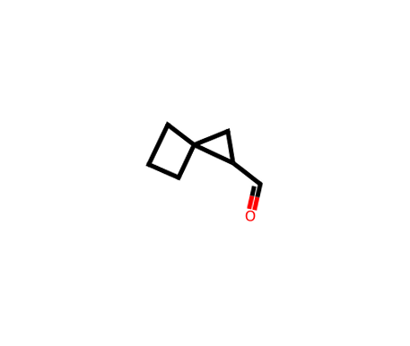 O=CC1CC12CCC2